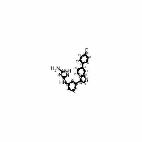 Nc1nc(Nc2cccc(-c3cnc4cc(-c5ccc(F)cc5)ccn34)c2)n[nH]1